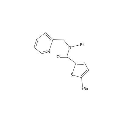 CCN(Cc1ccccn1)C(=O)c1ccc(C(C)(C)C)s1